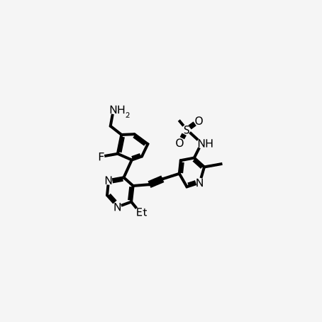 CCc1ncnc(-c2cccc(CN)c2F)c1C#Cc1cnc(C)c(NS(C)(=O)=O)c1